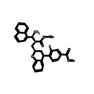 COC(=O)c1ccc(C2C[C@H](CN(C(=O)OC(C)(C)C)[C@H](C)c3cccc4ccccc34)Oc3ccccc32)c(F)c1